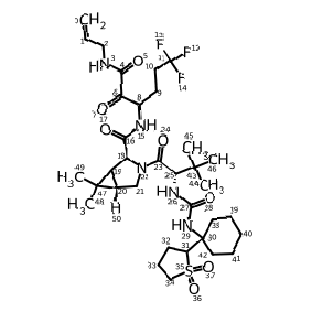 C=CCNC(=O)C(=O)C(CCC(F)(F)F)NC(=O)[C@@H]1C2[C@H](CN1C(=O)[C@@H](NC(=O)NC1(C3CCCS3(=O)=O)CCCCC1)C(C)(C)C)C2(C)C